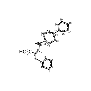 O=C(O)C(Cc1ccccc1)=NNc1ccc(-c2ccccc2)nn1